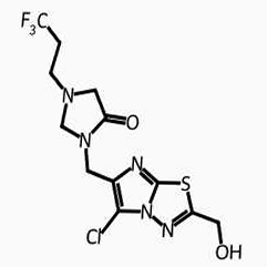 O=C1CN(CCC(F)(F)F)CN1Cc1nc2sc(CO)nn2c1Cl